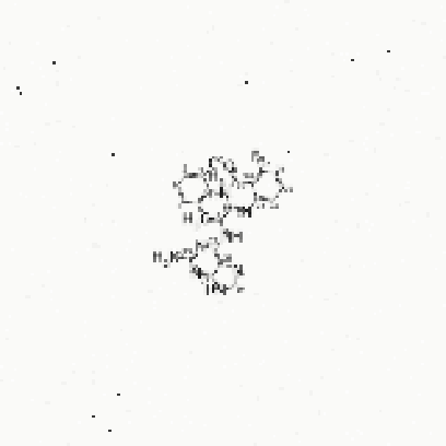 Cc1ccccc1-n1c([C@H](C)Nc2nc(N)nc3[nH]cnc23)nc2cccc(F)c2c1=O